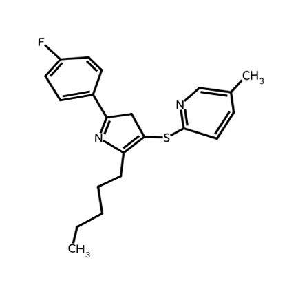 CCCCCC1=C(Sc2ccc(C)cn2)CC(c2ccc(F)cc2)=N1